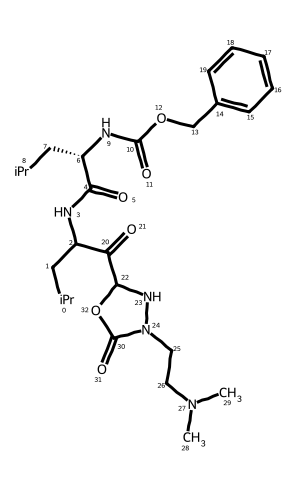 CC(C)CC(NC(=O)[C@H](CC(C)C)NC(=O)OCc1ccccc1)C(=O)C1NN(CCN(C)C)C(=O)O1